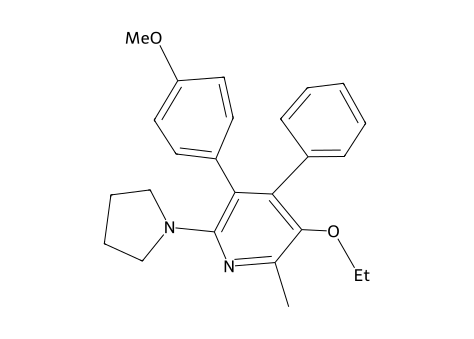 CCOc1c(C)nc(N2CCCC2)c(-c2ccc(OC)cc2)c1-c1ccccc1